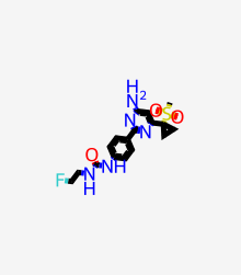 CS(=O)(=O)C1(c2cc(N)nc(-c3ccc(NC(=O)NCCF)cc3)n2)CC1